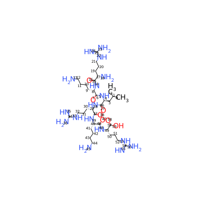 CC(C)C[C@H](NC(=O)[C@H](CCCCN)NC(=O)[C@@H](N)CCCNC(=N)N)C(=O)N[C@@H](CCCNC(=N)N)C(=O)N[C@@H](CCCCN)C(=O)N[C@@H](CCCNC(=N)N)C(=O)O